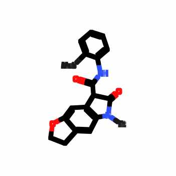 CCN1C(=O)C(C(=O)Nc2ccccc2SC)c2cc3c(cc21)CCO3